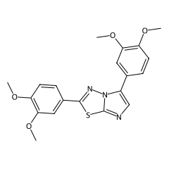 COc1ccc(-c2nn3c(-c4ccc(OC)c(OC)c4)cnc3s2)cc1OC